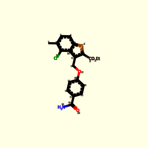 CCOC(=O)c1sc2ccc(C)c(Cl)c2c1COc1ccc(C(N)=O)cc1